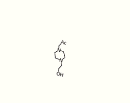 CC(=O)CN1CCN(CCO)CC1